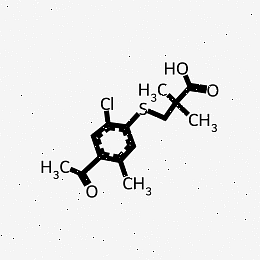 CC(=O)c1cc(Cl)c(SCC(C)(C)C(=O)O)cc1C